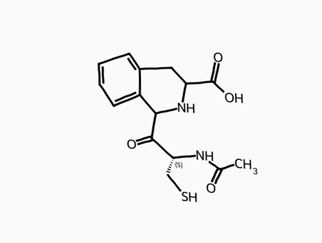 CC(=O)N[C@H](CS)C(=O)C1NC(C(=O)O)Cc2ccccc21